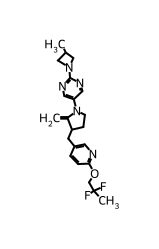 C=C1C(Cc2ccc(OCC(C)(F)F)nc2)CCN1c1cnc(N2CC(C)C2)nc1